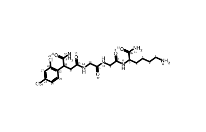 NCCCCC(NC(=O)CNC(=O)CNC(=O)CC(C(N)=O)c1ccc(Cl)cc1Cl)C(N)=O